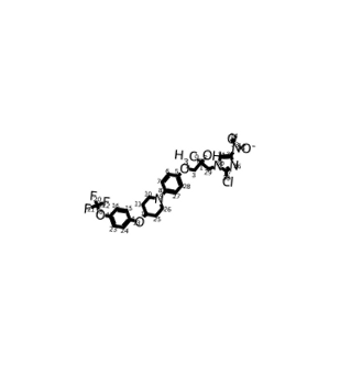 C[C@](O)(COc1ccc(N2CCC(Oc3ccc(OC(F)(F)F)cc3)CC2)cc1)Cn1cc([N+](=O)[O-])nc1Cl